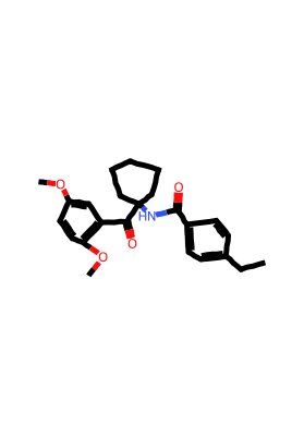 CCc1ccc(C(=O)NC2(C(=O)c3cc(OC)ccc3OC)CCCCC2)cc1